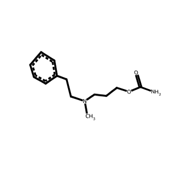 CN(CCCOC(N)=O)CCc1ccccc1